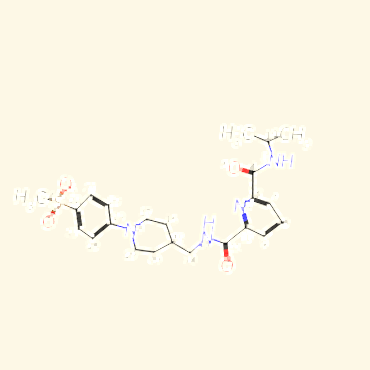 CC(C)NC(=O)c1cccc(C(=O)NCC2CCN(c3ccc(S(C)(=O)=O)cc3)CC2)n1